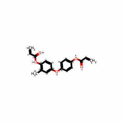 C=CC(=O)Oc1ccc(Oc2ccc(OC(=O)C=C)c(C)c2)cc1